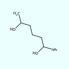 CCCC(O)CCCC(C)O